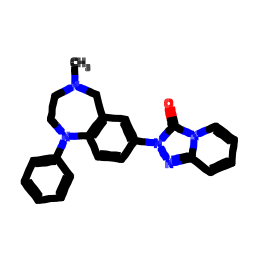 CN1CCN(c2ccccc2)c2ccc(-n3nc4ccccn4c3=O)cc2C1